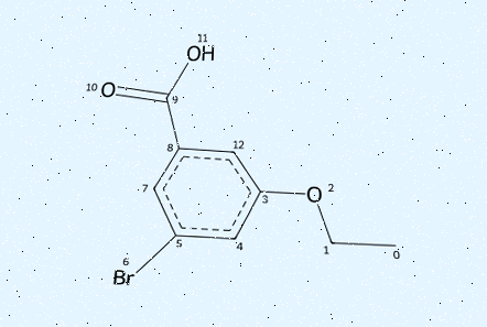 CCOc1cc(Br)cc(C(=O)O)c1